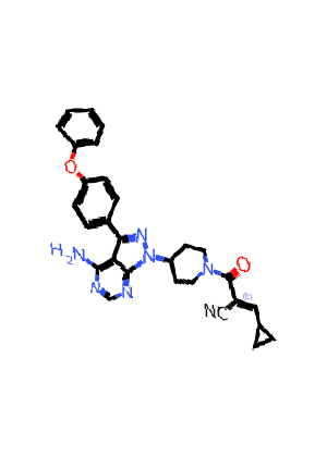 N#C/C(=C\C1CC1)C(=O)N1CCC(n2nc(-c3ccc(Oc4ccccc4)cc3)c3c(N)ncnc32)CC1